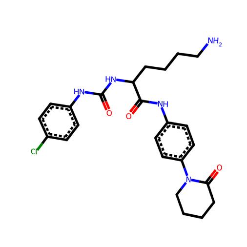 NCCCCC(NC(=O)Nc1ccc(Cl)cc1)C(=O)Nc1ccc(N2CCCCC2=O)cc1